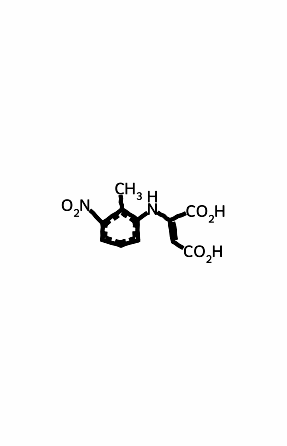 Cc1c(NC(=CC(=O)O)C(=O)O)cccc1[N+](=O)[O-]